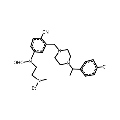 CCN(C)CCN(C=O)c1ccc(C#N)c(CN2CCN(C(C)c3ccc(Cl)cc3)CC2)c1